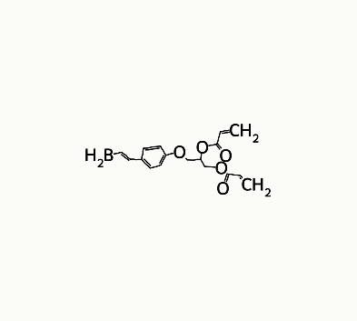 BC=Cc1ccc(OCC(COC(=O)C=C)OC(=O)C=C)cc1